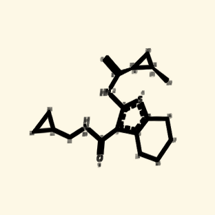 C=C(Nc1sc2c(c1C(=O)NCC1CC1)CCCC2)[C@H]1C[C@H]1C